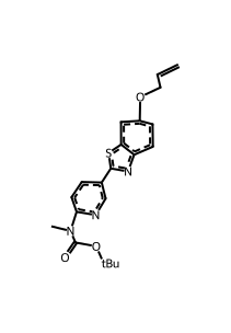 C=CCOc1ccc2nc(-c3ccc(N(C)C(=O)OC(C)(C)C)nc3)sc2c1